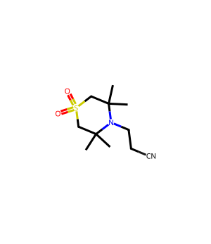 CC1(C)CS(=O)(=O)CC(C)(C)N1CCC#N